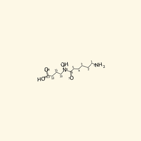 NCCCCCC(=O)N(O)CCCC(=O)O